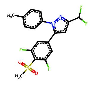 Cc1ccc(-n2nc(C(F)F)cc2-c2cc(F)c(S(C)(=O)=O)c(F)c2)cc1